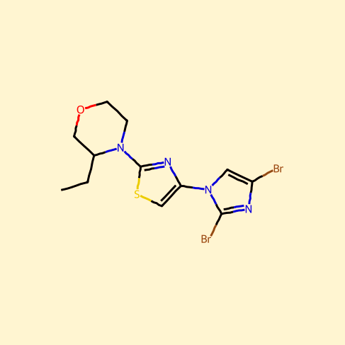 CCC1COCCN1c1nc(-n2cc(Br)nc2Br)cs1